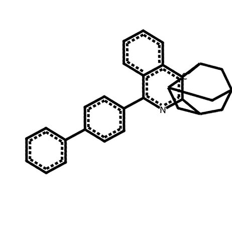 c1ccc(-c2ccc(-c3nc4c(c5ccccc35)C3CC5CC(CC4C5)C3)cc2)cc1